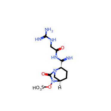 N=C(N)NCC(=O)NC(=N)[C@@H]1CC[C@@H]2CN1C(=O)N2OS(=O)(=O)O